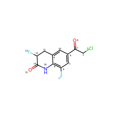 O=C(CCl)c1cc(F)c2c(c1)CC(F)C(=O)N2